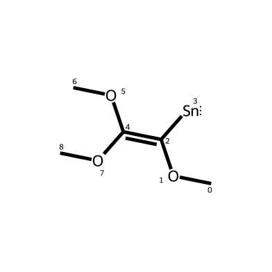 CO[C]([Sn])=C(OC)OC